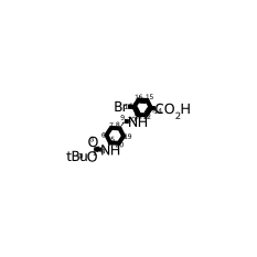 CC(C)(C)OC(=O)N[C@H]1CC[C@H](CNc2cc(C(=O)O)ccc2Br)CC1